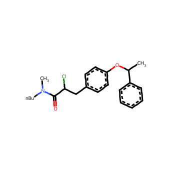 CCCCN(C)C(=O)C(Cl)Cc1ccc(OC(C)c2ccccc2)cc1